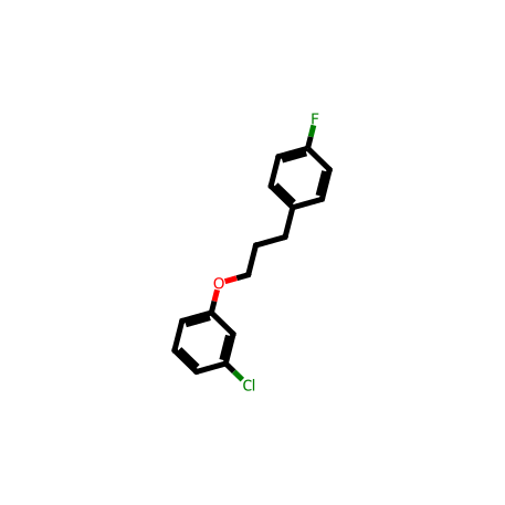 Fc1ccc(CCCOc2cccc(Cl)c2)cc1